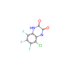 O=C1[N]c2c(Cl)c(F)c(F)c(F)c2NC1=O